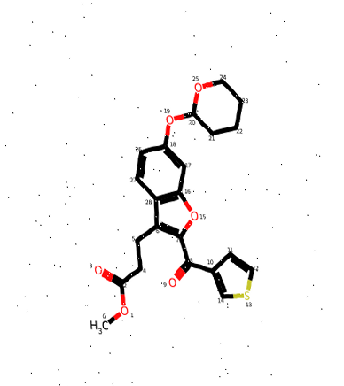 COC(=O)CCc1c(C(=O)c2ccsc2)oc2cc(OC3CCCCO3)ccc12